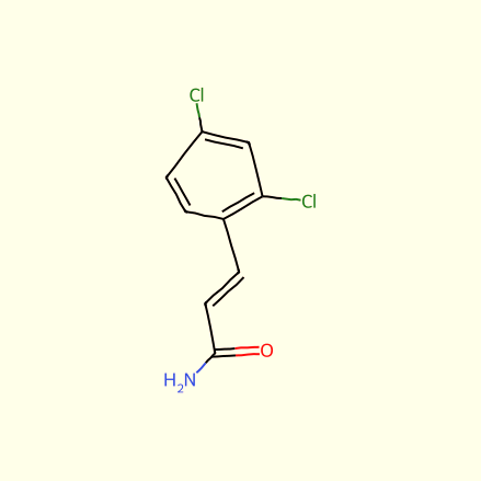 NC(=O)/C=C/c1ccc(Cl)cc1Cl